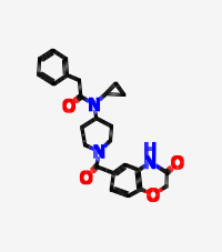 O=C1COc2ccc(C(=O)N3CCC(N(C(=O)Cc4ccccc4)C4CC4)CC3)cc2N1